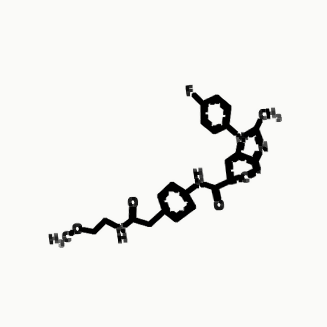 COCCNC(=O)Cc1ccc(NC(=O)c2ccc3nc(C)n(-c4ccc(F)cc4)c3c2)cc1